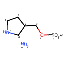 N.O=S(=O)(O)OCC1CCNC1